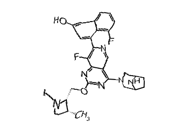 C[C@@H]1CN(I)[C@@H]1COc1nc(N2CC3CCC(C2)N3)c2cnc(-c3cc(O)cc4cccc(F)c34)c(F)c2n1